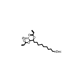 C=CC(=O)OC(CCCCCCCCCCCCCCCCCCC)C(OC(=O)C=C)C(C)CCC